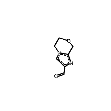 O=Cc1cn2c(n1)COCC2